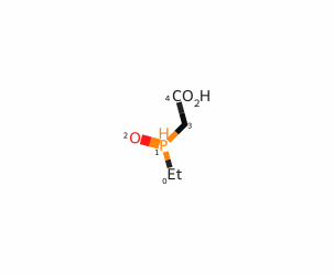 CC[PH](=O)CC(=O)O